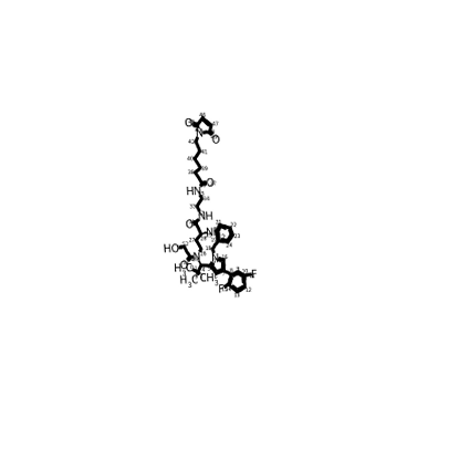 CC(C)(C)[C@H](c1cc(-c2cc(F)ccc2F)cn1Cc1ccccc1)N(CC[C@H](N)C(=O)NCCNC(=O)CCCCCN1C(=O)C=CC1=O)C(=O)CO